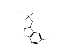 CC(C)(O)CC1CNc2ccc(F)cc21